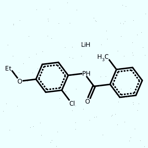 CCOc1ccc(PC(=O)c2ccccc2C)c(Cl)c1.[LiH]